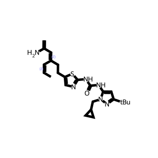 C=C(N)/C=C(\C=C/C)CCc1cnc(NC(=O)Nc2cc(C(C)(C)C)nn2CC2CC2)s1